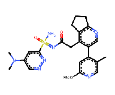 COc1cc(-c2cnc3c(c2CC(=O)N=S(N)(=O)c2cc(N(C)C)cnn2)CCC3)c(C)cn1